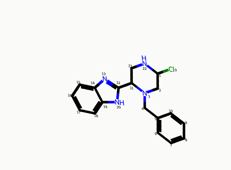 ClC1CN(Cc2ccccc2)C(c2nc3ccccc3[nH]2)CN1